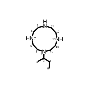 CCC(C)N1CCNCCNCCNCC1